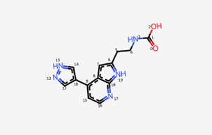 O=C(O)NCCc1cc2c(-c3cn[nH]c3)ccnc2[nH]1